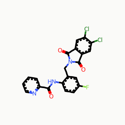 O=C(Nc1ccc(F)cc1CN1C(=O)c2cc(Cl)c(Cl)cc2C1=O)c1ccccn1